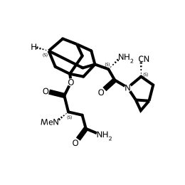 CN[C@@H](CC(N)=O)C(=O)OC12CC3C[C@H](C1)CC([C@H](N)C(=O)N1C4CC4C[C@H]1C#N)(C3)C2